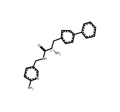 Nc1ccc(CNC(=O)[C@@H](N)Cc2ccc(-c3ccccc3)cc2)cn1